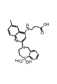 Cc1ccc2nc(N3CCS(O)(O)c4ccccc4C3)cc(NCCC(=O)O)c2c1